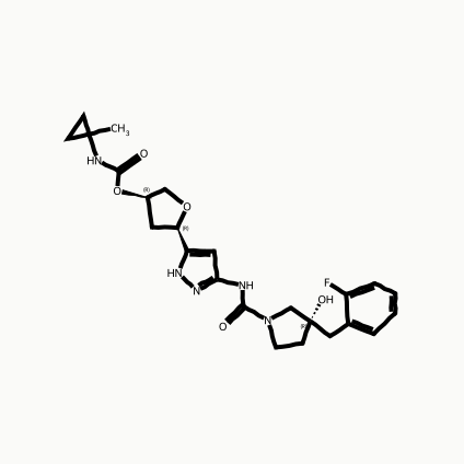 CC1(NC(=O)O[C@H]2CO[C@@H](c3cc(NC(=O)N4CC[C@](O)(Cc5ccccc5F)C4)n[nH]3)C2)CC1